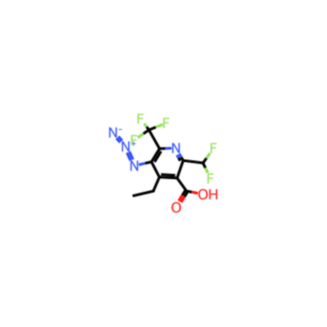 CCc1c(N=[N+]=[N-])c(C(F)(F)F)nc(C(F)F)c1C(=O)O